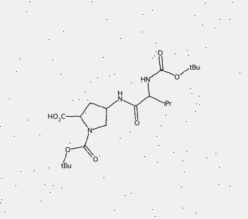 CC(C)C(NC(=O)OC(C)(C)C)C(=O)NC1CC(C(=O)O)N(C(=O)OC(C)(C)C)C1